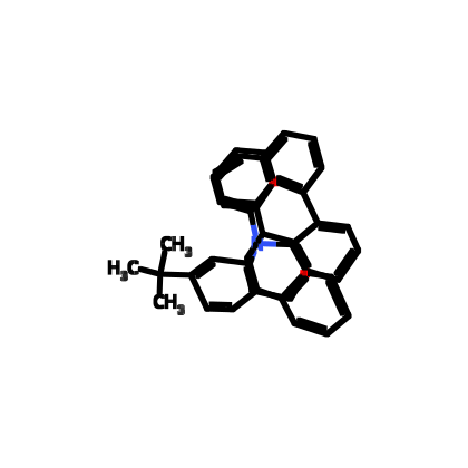 CC(C)(C)c1ccc(-c2ccccc2)c(N(c2ccccc2)c2ccccc2-c2cccc3cccc(C4CCCCC4)c23)c1